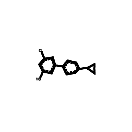 Oc1cc(Cl)cc(-c2ccc(C3CC3)cc2)c1